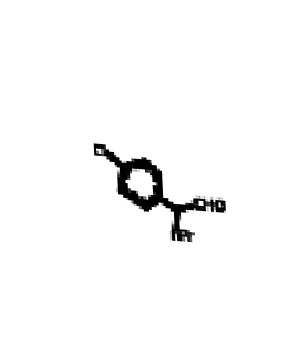 CCCC(C=O)c1ccc(Cl)cc1